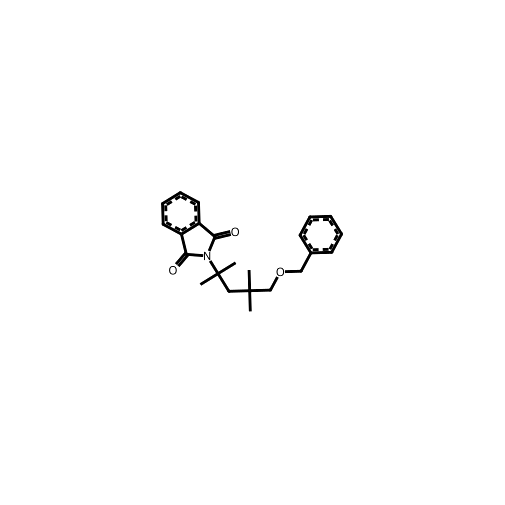 CC(C)(COCc1ccccc1)CC(C)(C)N1C(=O)c2ccccc2C1=O